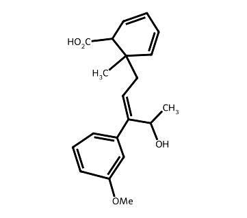 COc1cccc(/C(=C/CC2(C)C=CC=CC2C(=O)O)C(C)O)c1